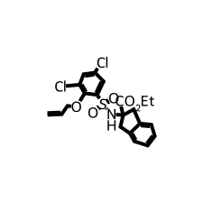 C=CCOc1c(Cl)cc(Cl)cc1S(=O)(=O)NC1(C(=O)OCC)Cc2ccccc2C1